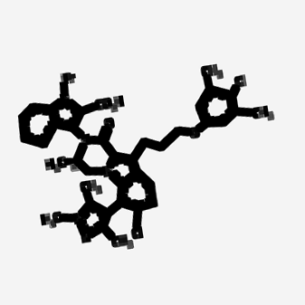 Cc1cc(OCCCc2c3n(c4c(-c5c(C)nn(C)c5C)c(Cl)ccc24)C[C@@H](C)N(c2c(C(=O)O)n(C(C)C)c4ccccc24)C3=O)cc(C)c1Cl